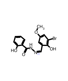 COc1cc(Br)c(O)c(/C=N\NC(=O)c2ccccc2O)c1